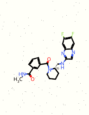 CNC(=O)c1cccc(C(=O)N2CCCC[C@H]2CNc2cnc3cc(F)c(F)cc3n2)c1